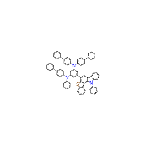 c1ccc(-c2ccc(N(c3ccccc3)c3cc(-c4cc5c6ccccc6n(-c6ccccc6)c5c5c4sc4ccccc45)cc(N(c4ccc(-c5ccccc5)cc4)c4ccc(-c5ccccc5)cc4)c3)cc2)cc1